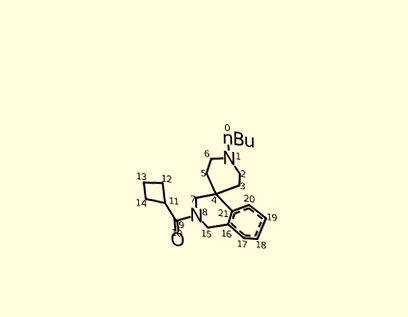 CCCCN1CCC2(CC1)CN(C(=O)C1CCC1)Cc1ccccc12